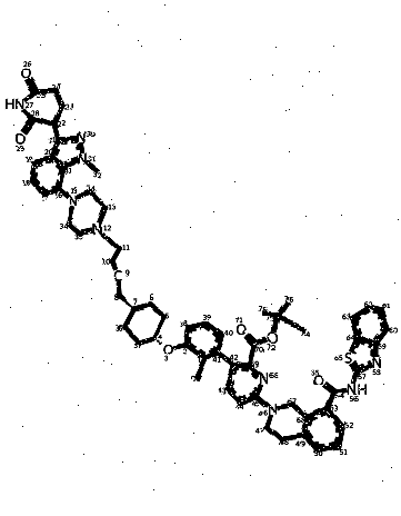 Cc1c(O[C@H]2CC[C@H](CCCCN3CCN(c4cccc5c(C6CCC(=O)NC6=O)nn(C)c45)CC3)CC2)cccc1-c1ccc(N2CCc3cccc(C(=O)Nc4nc5ccccc5s4)c3C2)nc1C(=O)OC(C)(C)C